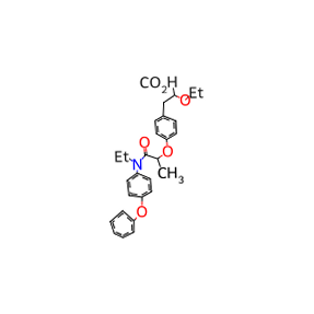 CCOC(Cc1ccc(OC(C)C(=O)N(CC)c2ccc(Oc3ccccc3)cc2)cc1)C(=O)O